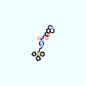 O=C(/C=C/c1cc2cc3c4c(c2oc1=O)CCCN4CCC3)N1CCN(CCCC[PH](c2ccccc2)(c2ccccc2)c2ccccc2)CC1